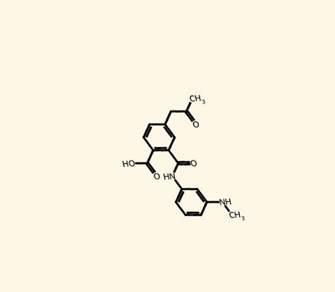 CNc1cccc(NC(=O)c2cc(CC(C)=O)ccc2C(=O)O)c1